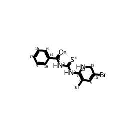 O=C(NC(=S)NC1=C(I)C=C(Br)CN1)c1ccccc1